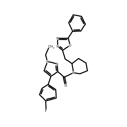 CCn1cc(-c2ccc(F)cc2)c(C(=O)N2CCCCC2Cc2nnc(-c3ccccc3)o2)n1